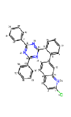 Clc1ccc2ccc(-c3ccccc3-c3nc(-c4ccccc4)nc(-c4ccccc4)n3)cc2n1